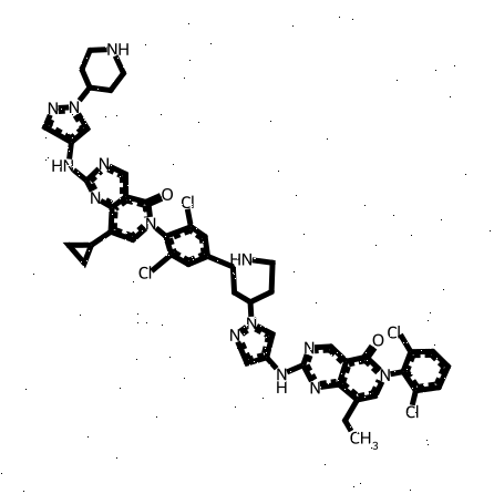 CCc1cn(-c2c(Cl)cccc2Cl)c(=O)c2cnc(Nc3cnn(C4CCNC(c5cc(Cl)c(-n6cc(C7CC7)c7nc(Nc8cnn(C9CCNCC9)c8)ncc7c6=O)c(Cl)c5)C4)c3)nc12